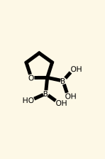 OB(O)C1(B(O)O)CCCO1